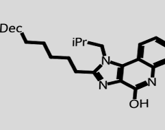 CCCCCCCCCCCCCCCc1nc2c(O)nc3ccccc3c2n1CC(C)C